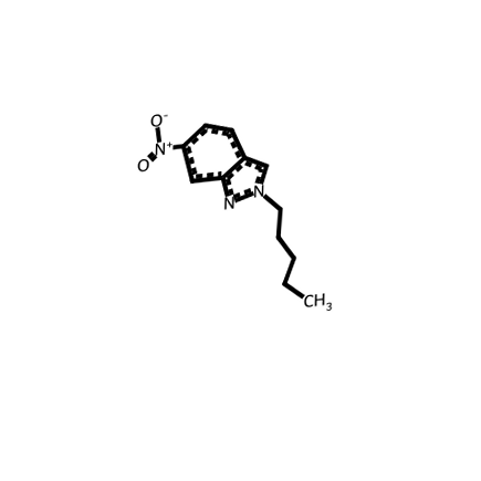 CCCCCn1cc2ccc([N+](=O)[O-])cc2n1